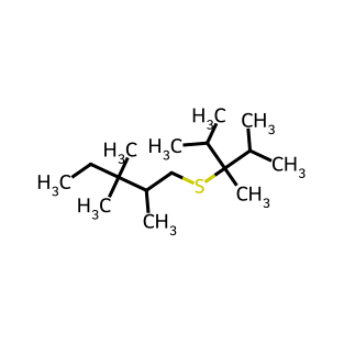 CCC(C)(C)C(C)CSC(C)(C(C)C)C(C)C